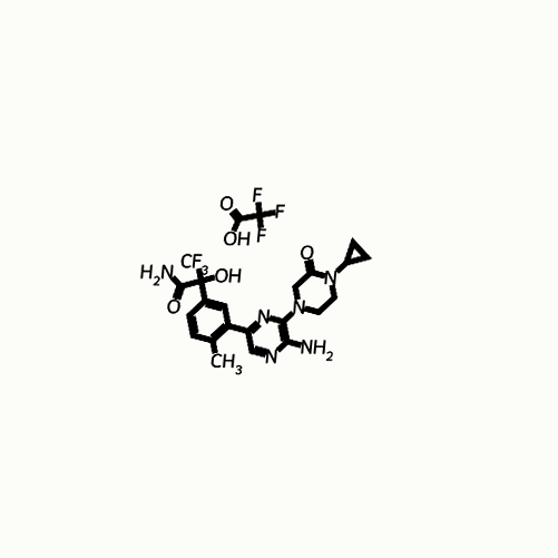 Cc1ccc(C(O)(C(N)=O)C(F)(F)F)cc1-c1cnc(N)c(N2CCN(C3CC3)C(=O)C2)n1.O=C(O)C(F)(F)F